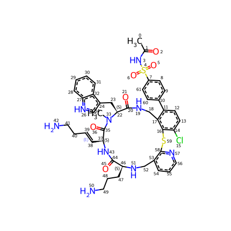 CC(=O)NS(=O)(=O)c1ccc(-c2ccc(Cl)c3c2CNC(=O)[C@H](Cc2c[nH]c4ccccc24)N(C)C(=O)[C@H](/C=C/CCN)NC(=O)[C@H](CCCN)NCc2cccnc2S3)cc1